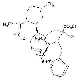 C=C(C)[C@@H]1CCC(C)=C[C@H]1c1c(O)cc(CCCCC)cc1OP(=O)(C(=O)OCC)C(Cc1ccccc1)[C@H](N)C(=O)O